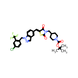 CC(C)(C)OC(=O)N1CCC(CN2C(=O)SC(=Cc3ccc4c(cnn4Cc4ccc(Cl)cc4C(F)(F)F)c3)C2=O)CC1